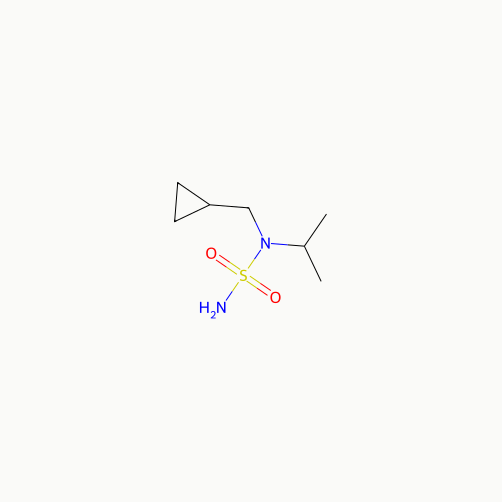 CC(C)N(CC1CC1)S(N)(=O)=O